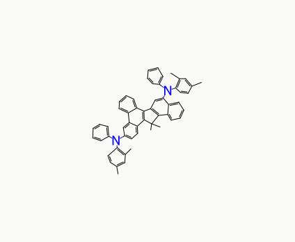 Cc1ccc(N(c2ccccc2)c2ccc3c4c(c5ccccc5c3c2)-c2cc(N(c3ccccc3)c3ccc(C)cc3C)c3ccccc3c2C4(C)C)c(C)c1